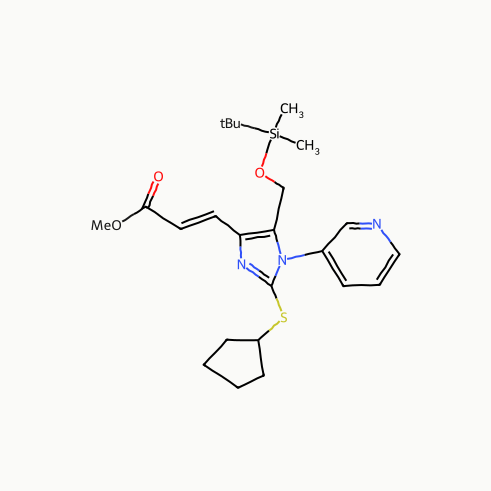 COC(=O)/C=C/c1nc(SC2CCCC2)n(-c2cccnc2)c1CO[Si](C)(C)C(C)(C)C